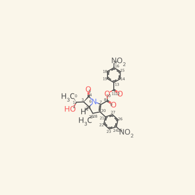 C[C@@H](O)[C@H]1C(=O)N2C(C(=O)OC(=O)c3ccc([N+](=O)[O-])cc3)=C(c3ccc([N+](=O)[O-])cc3)[C@H](C)[C@H]12